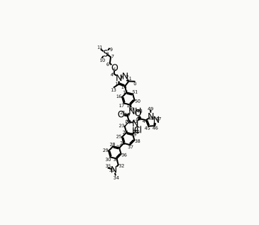 Cc1nn(COCCS(C)(C)C)c(C)c1-c1ccc(NC(=O)[C@H](Cc2cc(-c3cccc(CN(C)C)c3)ccc2Cl)NC(=O)c2ccnn2C)cc1